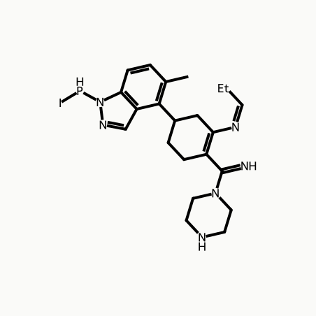 CC/C=N\C1=C(C(=N)N2CCNCC2)CCC(c2c(C)ccc3c2cnn3PI)C1